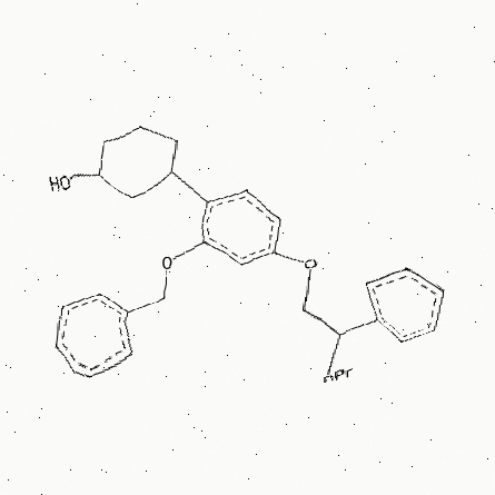 CCCC(COc1ccc(C2CCCC(O)C2)c(OCc2ccccc2)c1)c1ccccc1